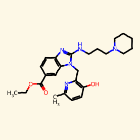 CCOC(=O)c1ccc2nc(NCCCN3CCCCC3)n(Cc3nc(C)ccc3O)c2c1